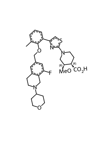 CO[C@H]1CN(c2nc(-c3cccc(C)c3OCc3cc(F)c4c(c3)CCN(C3CCOCC3)C4)cs2)CC[C@H]1C(=O)O